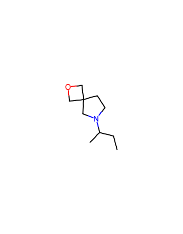 CCC(C)N1CCC2(COC2)C1